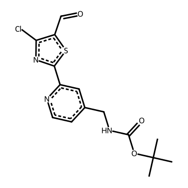 CC(C)(C)OC(=O)NCc1ccnc(-c2nc(Cl)c(C=O)s2)c1